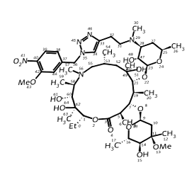 CC[C@H]1OC(=O)[C@H](C)[C@@H](O[C@H]2C[C@@](C)(OC)[C@@H](O)[C@H](C)O2)[C@H](C)[C@@H](O[C@@H]2O[C@H](C)C[C@H](N(C)CCc3cn(Cc4ccc([N+](=O)[O-])c(OC)c4)nn3)[C@H]2O)[C@](C)(O)C[C@@H](C)CN(C)[C@H](C)[C@@H](O)[C@]1(C)O